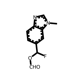 Cn1cnc2ccc(C(F)OC=O)cc21